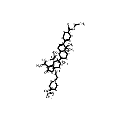 CCC[C@@H]1[C@@]2(C)CC=C(C3=CCC(C(=O)OCC)CC3)C(C)(C)[C@@H]2CC[C@@]1(C)[C@]1(C)CC[C@@]2(NCCN3CCC(S(C)(=O)=O)CC3)CC(=O)C(C(C)C)=C2C1